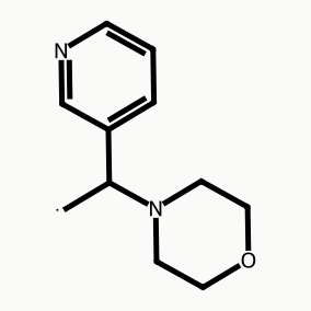 [CH2]C(c1cccnc1)N1CCOCC1